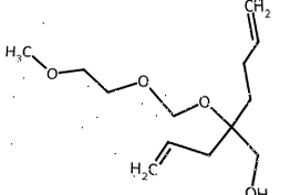 C=CCCC(CO)(CC=C)OCOCCOC